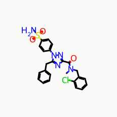 CN(Cc1ccccc1Cl)C(=O)c1nc(Cc2ccccc2)n(-c2ccc(S(N)(=O)=O)cc2)n1